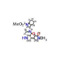 COCCn1cc(CN(C(=O)C2CNCCC2c2ccn(C)c(=O)c2)C2CC2)c2ccccc21